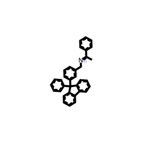 C/C(=N\Cc1cccc(C2(c3ccccc3)c3ccccc3-c3ccccc32)c1)c1ccccc1